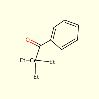 C[CH2][Ge]([CH2]C)([CH2]C)[C](=O)c1ccccc1